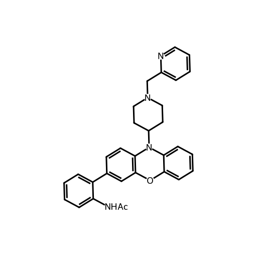 CC(=O)Nc1ccccc1-c1ccc2c(c1)Oc1ccccc1N2C1CCN(Cc2ccccn2)CC1